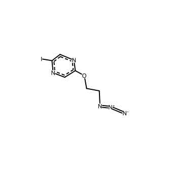 [N-]=[N+]=NCCOc1cnc(I)cn1